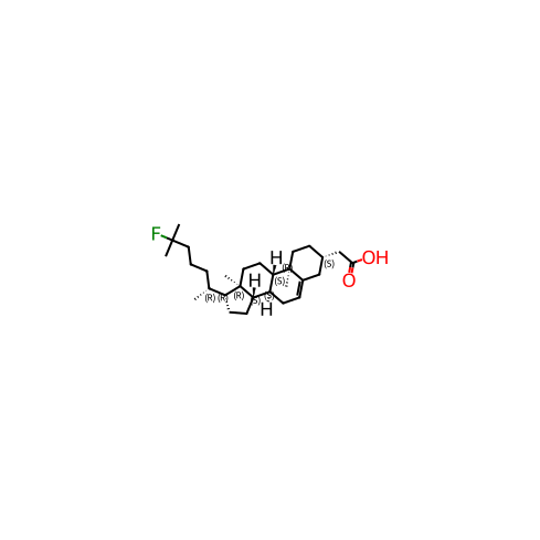 C[C@H](CCCC(C)(C)F)[C@H]1CC[C@H]2[C@@H]3CC=C4C[C@@H](CC(=O)O)CC[C@]4(C)[C@H]3CC[C@]12C